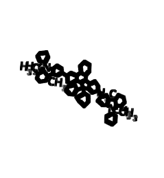 CC1CCCC2(C)c3cc(-c4ccc5c(c4)C(c4ccccc4)(c4ccccc4)c4c-5c5ccccc5c5cc(-c6ccc7c(c6)C6(C)CCCC(C)C6(C)N7c6ccccc6)ccc45)ccc3N(c3ccccc3)C12C